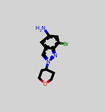 Nc1cc(Br)c2nn(C3CCOCC3)cc2c1